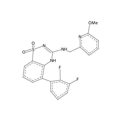 COc1cccc(CNC2=NS(=O)(=O)c3cccc(-c4cccc(F)c4F)c3N2)n1